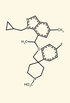 Cc1cc(C(C)OCC2(c3ccc(F)cc3)CCN(C(=O)O)CC2)c2c(cnn2CC2CC2)c1